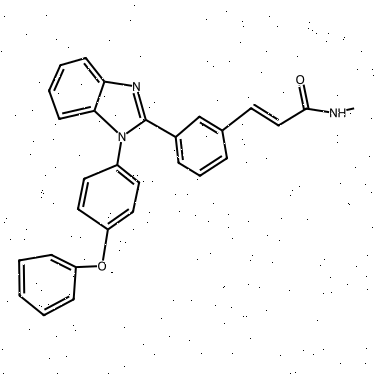 CNC(=O)/C=C/c1cccc(-c2nc3ccccc3n2-c2ccc(Oc3ccccc3)cc2)c1